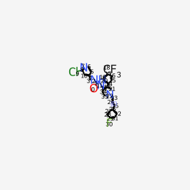 O=C(NCc1ccnc(Cl)c1)n1c2c(c3ccc(C(F)(F)F)cc31)CN(C/C=C/c1ccc(F)cc1)CC2